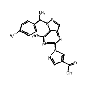 Cc1ccc(C(C)n2ncc3nc(-n4cc(C(=O)O)cn4)nc(O)c32)cc1